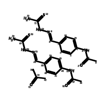 CC(=O)Nc1ccc(C=NNC(N)=S)cc1.CC(=O)Nc1ccc(C=NNC(N)=S)cc1.CC(C)=O